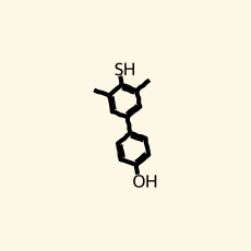 Cc1cc(-c2ccc(O)cc2)cc(C)c1S